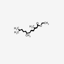 CCOC(=O)/C=C(C)/C=C/C[C@H](C)CCCC(C)C